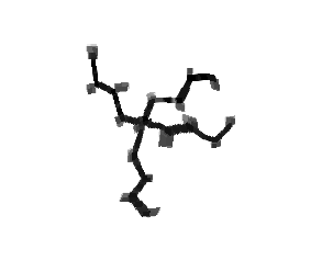 CCCC[P](CCCC)(CCCC)CCCC